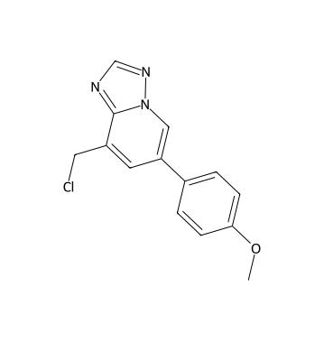 COc1ccc(-c2cc(CCl)c3ncnn3c2)cc1